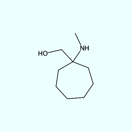 CNC1(CO)CCCCCC1